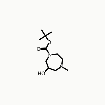 CN1CCN(C(=O)OC(C)(C)C)CC(O)C1